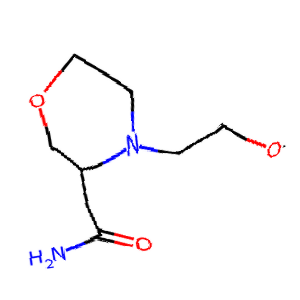 NC(=O)C1COCCN1CC[O]